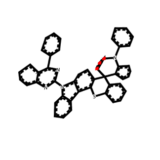 c1ccc(-c2nc(-n3c4ccccc4c4c5c(ccc43)C3(c4ccccc4S5)c4ccccc4N(c4ccccc4)c4ccccc43)nc3ccccc23)cc1